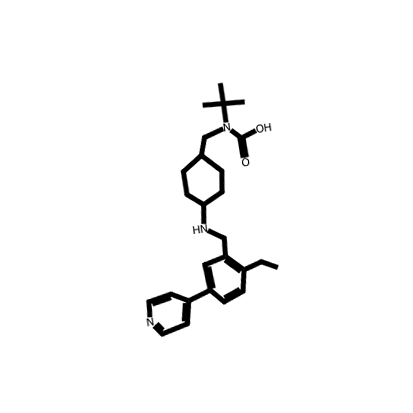 CCc1ccc(-c2ccncc2)cc1CNC1CCC(CN(C(=O)O)C(C)(C)C)CC1